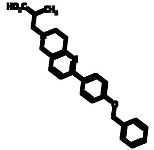 CC(CN1CCc2nc(-c3ccc(OCc4ccccc4)cc3)ccc2C1)C(=O)O